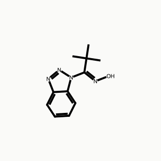 CC(C)(C)C(=NO)n1nnc2ccccc21